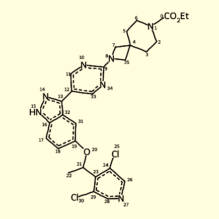 CCOC(=O)N1CCC2(CC1)CN(c1ncc(-c3n[nH]c4ccc(OC(C)c5c(Cl)cncc5Cl)cc34)cn1)C2